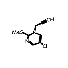 C#CCN1C=C(Cl)C=NC1SC